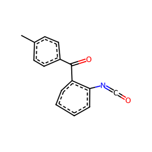 Cc1ccc(C(=O)c2ccccc2N=C=O)cc1